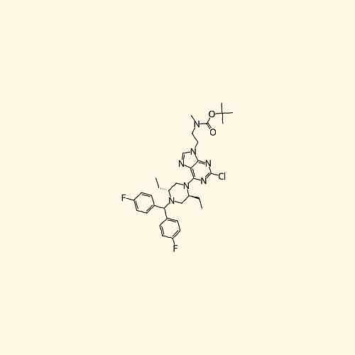 CC[C@H]1CN(C(c2ccc(F)cc2)c2ccc(F)cc2)[C@H](CC)CN1c1nc(Cl)nc2c1ncn2CCN(C)C(=O)OC(C)(C)C